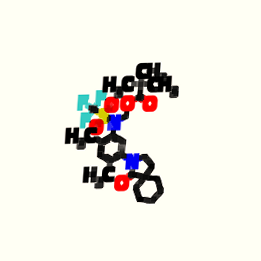 Cc1cc(C)c(N(COC(=O)C(C)(C)C)S(=O)(=O)C(F)(F)F)cc1N1CCC2(CCCCC2)C1=O